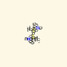 CC1(C)c2c(ccc3ccccc23)N(c2ccccc2)c2ccc3c(sc4cc5c(cc43)sc3c4c(ccc35)N(c3ccccc3)c3ccc5ccccc5c3C4(C)C)c21